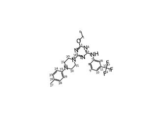 CCOc1nc(Nc2cccc(C(F)(F)F)c2)nc(N2CCN(c3ccc(C)cc3)CC2)n1